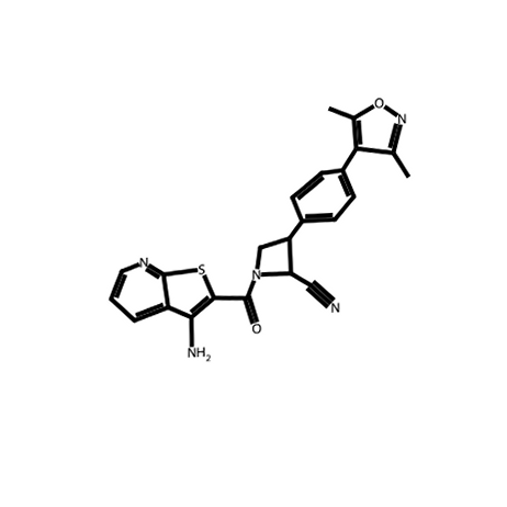 Cc1noc(C)c1-c1ccc(C2CN(C(=O)c3sc4ncccc4c3N)C2C#N)cc1